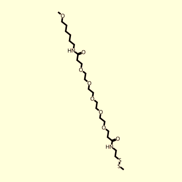 COCCCCCCNC(=O)CCOCCOCCOCCOCCOCCC(=O)NCCSSC